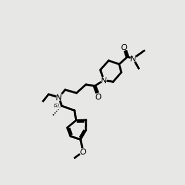 CCN(CCCC(=O)N1CCC(C(=O)N(C)C)CC1)[C@@H](C)Cc1ccc(OC)cc1